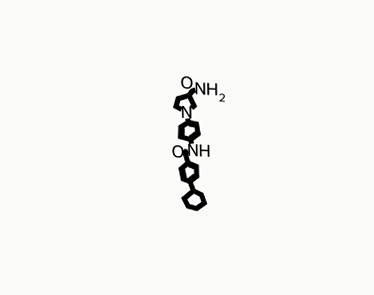 NC(=O)C1CCN(c2ccc(NC(=O)c3ccc(C4CCCCC4)cc3)cc2)C1